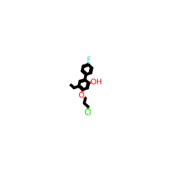 CCc1cc(-c2ccc(F)cc2)c(O)cc1OCCCCl